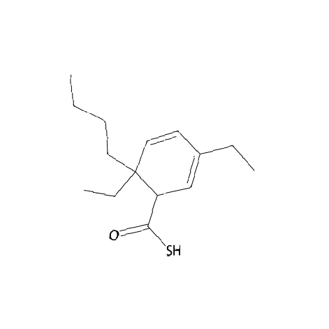 CCCCC1(CC)C=CC(CC)=CC1C(=O)S